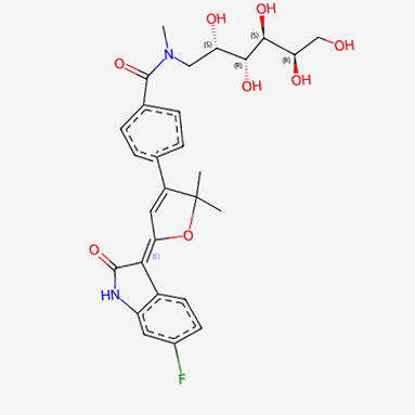 CN(C[C@H](O)[C@@H](O)[C@@H](O)[C@H](O)CO)C(=O)c1ccc(C2=C/C(=C3\C(=O)Nc4cc(F)ccc43)OC2(C)C)cc1